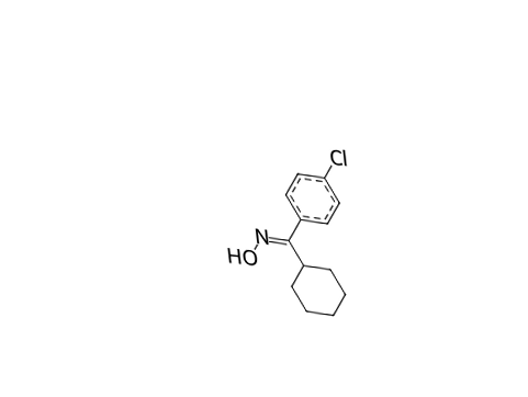 O/N=C(/c1ccc(Cl)cc1)C1CCCCC1